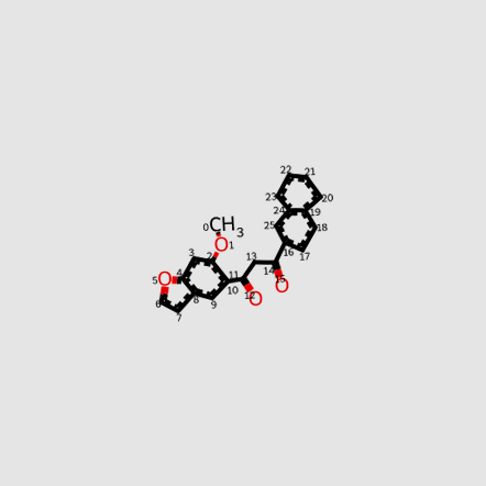 COc1cc2occc2cc1C(=O)CC(=O)c1ccc2ccccc2c1